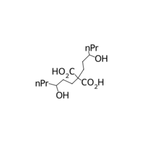 CCCC(O)CCC(CCC(O)CCC)(C(=O)O)C(=O)O